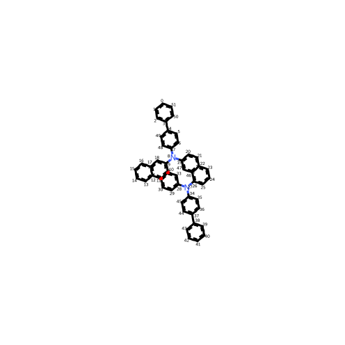 c1ccc(-c2ccc(N(c3ccc4ccccc4c3)c3ccc4cccc(N(c5ccccc5)c5ccc(-c6ccccc6)cc5)c4c3)cc2)cc1